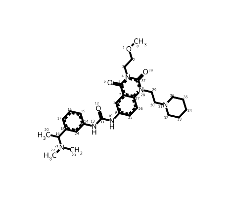 COCCn1c(=O)c2cc(NC(=O)Nc3cccc(C(C)N(C)C)c3)ccc2n(CCN2CCCCC2)c1=O